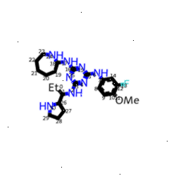 CCC(Nc1nc(Nc2ccc(OC)c(F)c2)nc(NC2CCCCCN2)n1)C1CCCN1